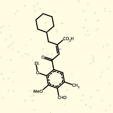 CCOc1c(C(=O)/C=C(\CC2CCCCC2)C(=O)O)cc(C)c(C=O)c1OC